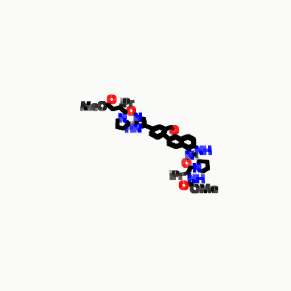 COC(=O)C[C@H](C(=O)N1CCC[C@H]1c1ncc(-c2ccc3c(c2)COc2c-3ccc3c2ccc2[nH]c([C@@H]4CCCN4C(=O)[C@@H](NC(=O)OC)C(C)C)nc23)[nH]1)C(C)C